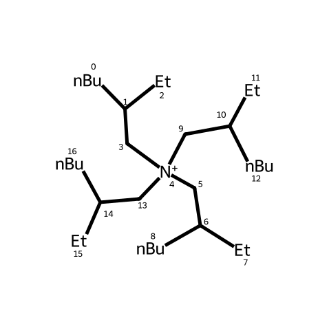 CCCCC(CC)C[N+](CC(CC)CCCC)(CC(CC)CCCC)CC(CC)CCCC